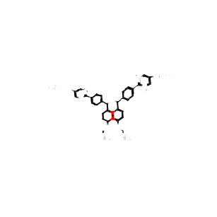 CCCCCCCCCCc1cnc(-c2ccc(C(OC(c3ccc(OCC(C)CC)cc3)c3ccc(-c4ncc(CCCCCCCCCC)cn4)cc3)c3ccc(OCC(C)CC)cc3)cc2)nc1